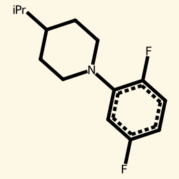 CC(C)C1CCN(c2cc(F)ccc2F)CC1